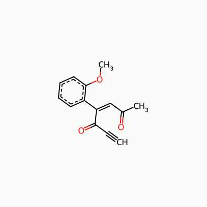 C#CC(=O)/C(=C\C(C)=O)c1ccccc1OC